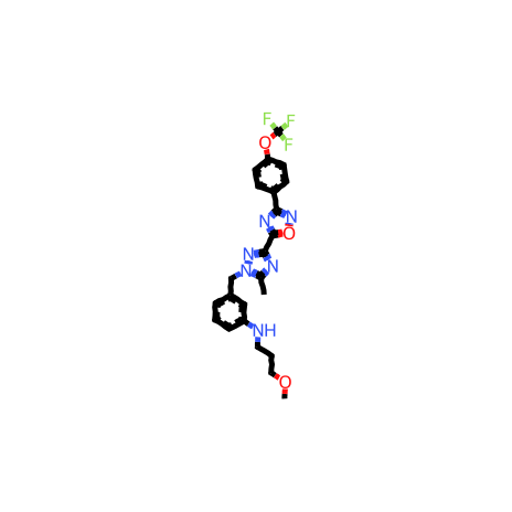 COCCCNc1cccc(Cn2nc(-c3nc(-c4ccc(OC(F)(F)F)cc4)no3)nc2C)c1